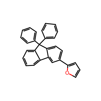 c1ccc(C2(c3ccccc3)c3ccccc3-c3cc(-c4ccco4)ccc32)cc1